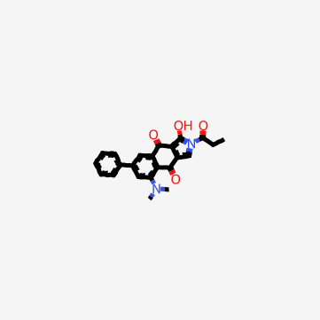 CCC(=O)n1cc2c(c1O)C(=O)c1cc(-c3ccccc3)cc(N(C)C)c1C2=O